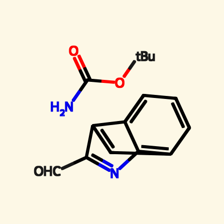 CC(C)(C)OC(N)=O.O=CC1=Nc2c3cccc2C1=C3